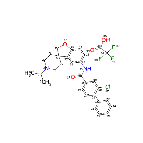 CC(C)N1CCC2(CC1)COc1ccc(NC(=O)c3ccc(-c4ccccc4)c(Cl)c3)cc12.O=C(O)C(F)(F)F